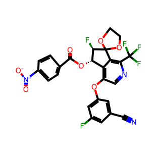 N#Cc1cc(F)cc(Oc2cnc(C(F)(F)F)c3c2[C@H](OC(=O)c2ccc([N+](=O)[O-])cc2)[C@@H](F)C32OCCO2)c1